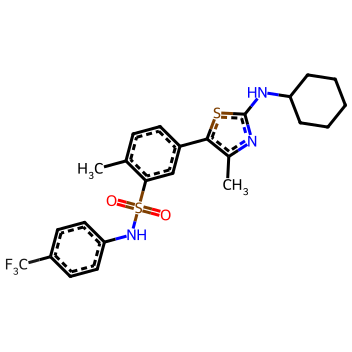 Cc1ccc(-c2sc(NC3CCCCC3)nc2C)cc1S(=O)(=O)Nc1ccc(C(F)(F)F)cc1